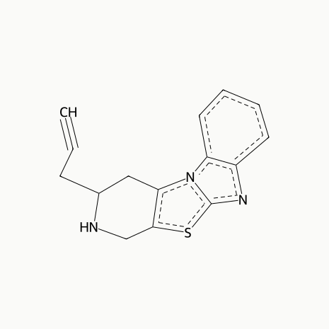 C#CCC1Cc2c(sc3nc4ccccc4n23)CN1